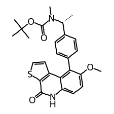 COc1ccc2[nH]c(=O)c3sccc3c2c1-c1ccc([C@@H](C)N(C)C(=O)OC(C)(C)C)cc1